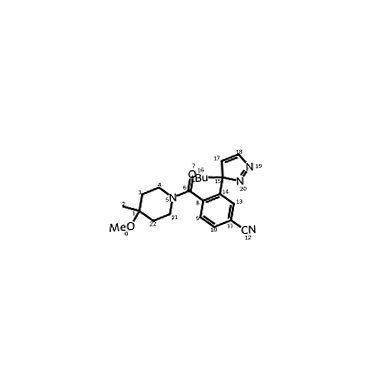 COC1(C)CCN(C(=O)c2ccc(C#N)cc2C2(C(C)(C)C)C=CN=N2)CC1